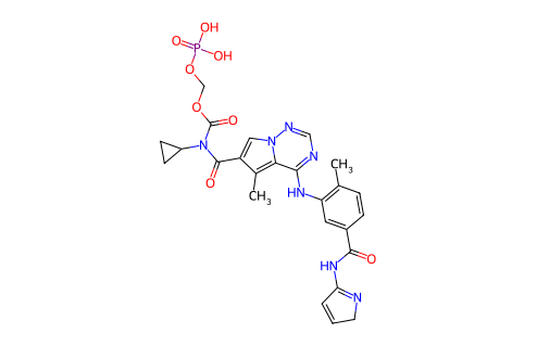 Cc1ccc(C(=O)NC2=NCC=C2)cc1Nc1ncnn2cc(C(=O)N(C(=O)OCOP(=O)(O)O)C3CC3)c(C)c12